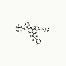 CC1(C)CC(CO[Si](C)(C)C(C)(C)C)CN1c1nc(C2(OCCC3(C(F)(F)F)CC3)C=CN=N2)ccc1C(=O)NS(=O)(=O)c1ccccc1